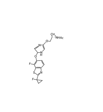 CC(=O)N[C@@H](C)COC1=CNC(Oc2ccc3nc(C4(F)CC4)sc3c2F)C=N1